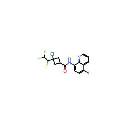 O=C(Nc1ccc(I)c2cccnc12)C1CC(Cl)(C(F)C(F)F)C1